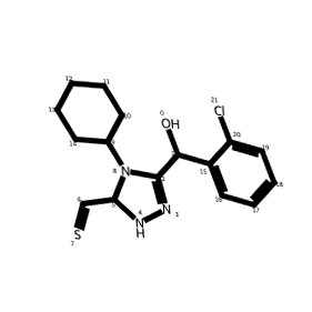 OC(C1=NNC(C=S)N1C1CCCCC1)c1ccccc1Cl